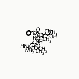 C=C(C)/C(C[C@H](NC(=O)[C@@H](CCCNC(=N)N)NC(=O)OC(C)(C)C)C(=O)OCc1ccccc1)=C(C)\C=C(/C)O